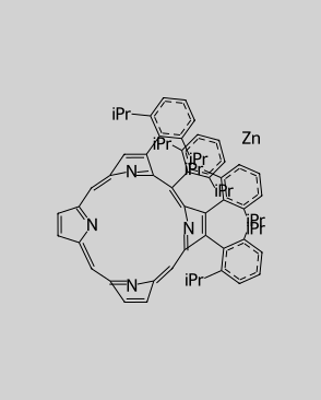 CC(C)c1cccc(C(C)C)c1C1=CC2=CC3=NC(=CC4=NC(=CC5=NC(=C(c6c(C(C)C)cccc6C(C)C)C1=N2)C(c1c(C(C)C)cccc1C(C)C)=C5c1c(C(C)C)cccc1C(C)C)C=C4)C=C3.[Zn]